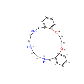 c1ccc2c(c1)CNCCNCCNCc1ccccc1OCCO2